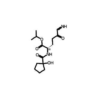 CC(C)OC(=O)[C@H](CCC(=O)C=N)NC(=O)C1(O)CCCC1